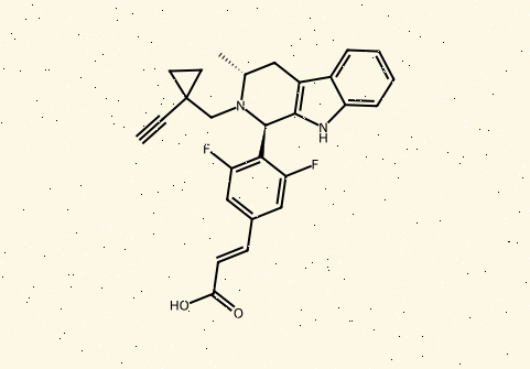 C#CC1(CN2[C@H](c3c(F)cc(/C=C/C(=O)O)cc3F)c3[nH]c4ccccc4c3C[C@H]2C)CC1